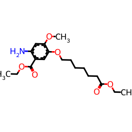 CCOC(=O)CCCCCCOc1cc(C(=O)OCC)c(N)cc1OC